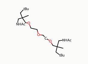 CC(=O)NCC(C)(COCCOCCOCC(C)(CNC(C)=O)CC(C)(C)C)CC(C)(C)C